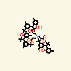 Cc1ccc(O)c(C(c2cc(C)cc(C(C)(C)C)c2OC(=O)CCN(CCC(=O)Oc2c(C(c3cc(C)ccc3O)C(C)(C)C)cc(C)cc2C(C)(C)C)CCC(=O)Oc2c(C(c3cc(C)ccc3O)C(C)(C)C)cc(C)cc2C(C)(C)C)C(C)(C)C)c1